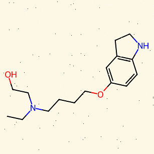 CCN(CCO)CCCCOc1ccc2c(c1)CCN2